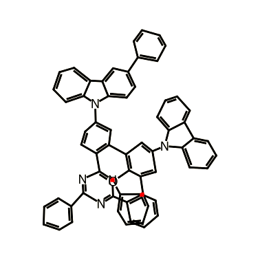 c1ccc(-c2ccc3c(c2)c2ccccc2n3-c2ccc(-c3nc(-c4ccccc4)nc(-c4ccccc4)n3)c(-c3cc(-n4c5ccccc5c5ccccc54)cc4c3oc3ccccc34)c2)cc1